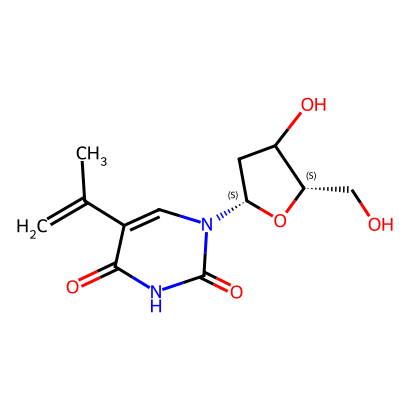 C=C(C)c1cn([C@@H]2CC(O)[C@H](CO)O2)c(=O)[nH]c1=O